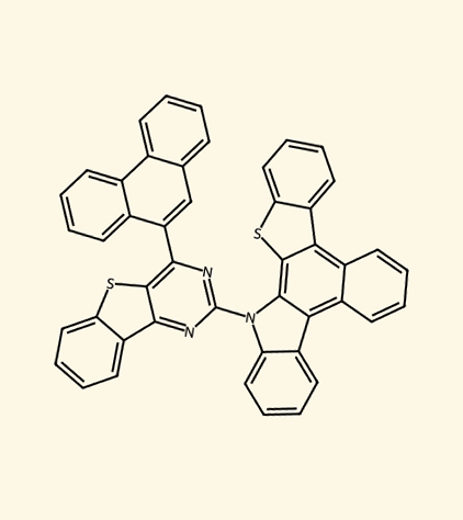 c1ccc2c(c1)cc(-c1nc(-n3c4ccccc4c4c5ccccc5c5c6ccccc6sc5c43)nc3c1sc1ccccc13)c1ccccc12